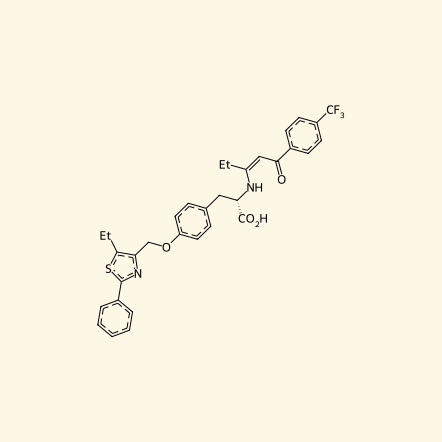 CCC(=CC(=O)c1ccc(C(F)(F)F)cc1)N[C@@H](Cc1ccc(OCc2nc(-c3ccccc3)sc2CC)cc1)C(=O)O